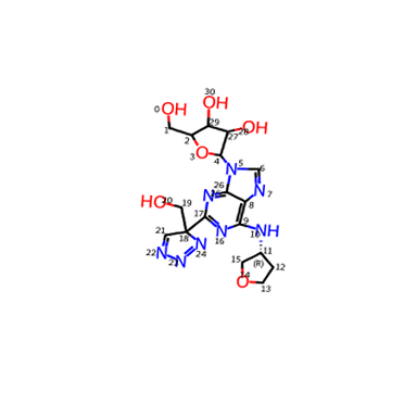 OCC1OC(n2cnc3c(N[C@@H]4CCOC4)nc(C4(CO)C=NN=N4)nc32)C(O)C1O